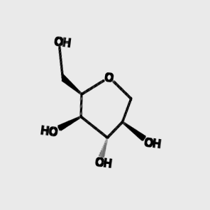 OC[C@H]1OC[C@@H](O)[C@H](O)[C@H]1O